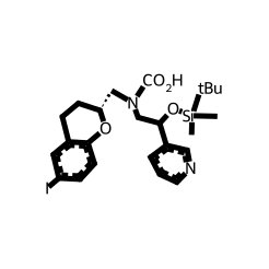 CC(C)(C)[Si](C)(C)OC(CN(C[C@H]1CCc2cc(I)ccc2O1)C(=O)O)c1cccnc1